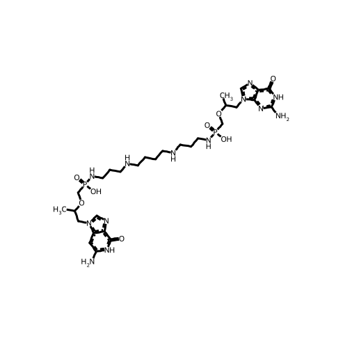 CC(Cn1cnc2c(=O)[nH]c(N)cc21)OCP(=O)(O)NCCCNCCCCNCCCNP(=O)(O)COC(C)Cn1cnc2c(=O)[nH]c(N)nc21